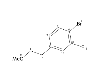 COCCc1ccc(Br)c(F)c1